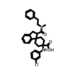 CN(CCc1ccccc1)C(=O)C1Cc2ccccc2C12CCC(Nc1cccc(Cl)c1)(C(=O)O)CC2